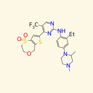 CCc1cc(N2CCN(C)CC2C)ccc1Nc1ncc(C(F)(F)F)c(-c2cc3c(s2)COCCS3(=O)=O)n1